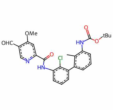 COc1cc(C(=O)Nc2cccc(-c3cccc(NC(=O)OC(C)(C)C)c3C)c2Cl)ncc1C=O